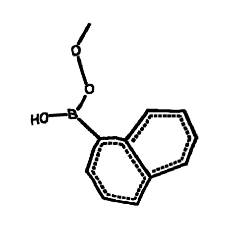 COOB(O)c1cccc2ccccc12